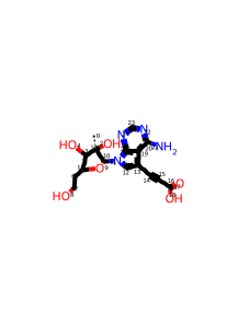 C[C@@]1(O)C(O)C(CCO)OC1n1cc(C#CC(=O)O)c2c(N)ncnc21